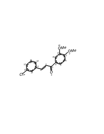 COc1ccc(C(=O)C=Cc2cccc(Cl)c2)cc1OC